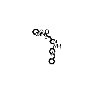 O=C(NOC1CCCCO1)/C(F)=C/c1ccc(N[C@@H]2CCCN(CC3CCCCC3)C2)nc1